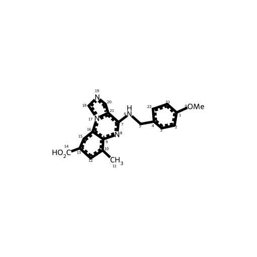 COc1ccc(CNc2nc3c(C)cc(C(=O)O)cc3n3cncc23)cc1